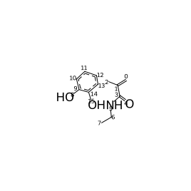 C=C(C)C(=O)NCC.Oc1ccccc1O